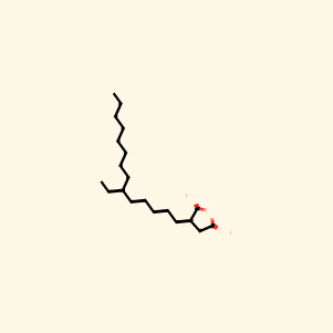 CCCCCCCCC(CC)CCCCCC1CC(=O)OC1=O